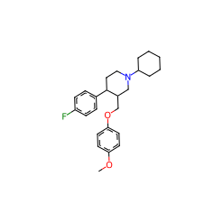 COc1ccc(OCC2CN(C3CCCCC3)CCC2c2ccc(F)cc2)cc1